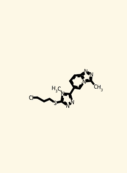 Cc1nnc2ccc(-c3nnc(SCCCCl)n3C)cn12